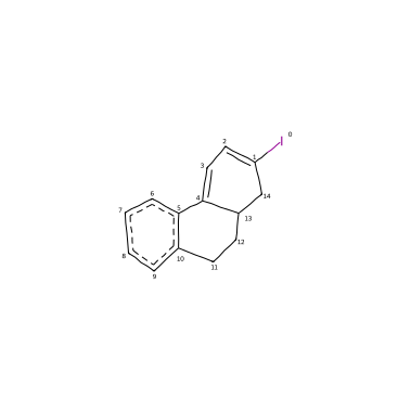 IC1=CC=C2c3ccccc3CCC2C1